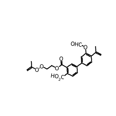 C=C(C)OOCCOC(=O)c1cc(-c2ccc(C(=C)C)c(OC=O)c2)ccc1C(=O)O